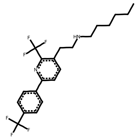 CCCCCCNCCc1ccc(-c2ccc(C(F)(F)F)cc2)nc1C(F)(F)F